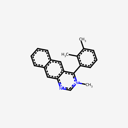 Cc1cccc(-c2c3cc4ccccc4cc3nc[n+]2C)c1C